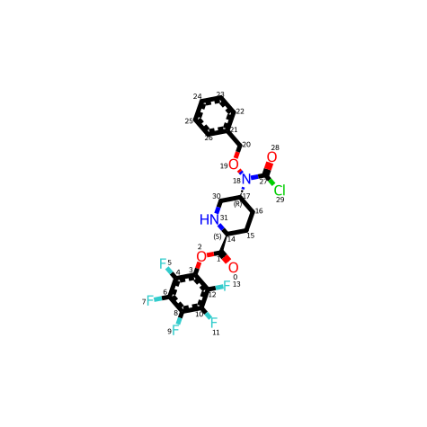 O=C(Oc1c(F)c(F)c(F)c(F)c1F)[C@@H]1CC[C@@H](N(OCc2ccccc2)C(=O)Cl)CN1